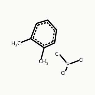 Cc1ccccc1C.ClP(Cl)Cl